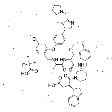 COCC(NC(=O)C(C)NCc1ccc(Cl)cc1Oc1ccc(-c2cnc(CN3CCCC3)n2C)cc1)C(=O)N[C@@]1(Cc2ccc(Cl)cc2)CCCN(C(=O)C(CC(=O)O)[C@H]2CCc3ccccc32)C1.O=C(O)C(F)(F)F